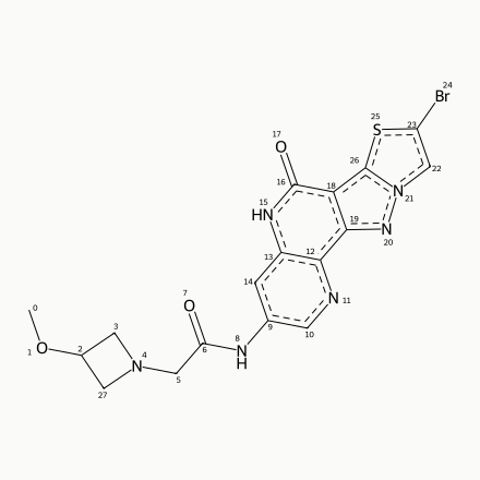 COC1CN(CC(=O)Nc2cnc3c(c2)[nH]c(=O)c2c3nn3cc(Br)sc23)C1